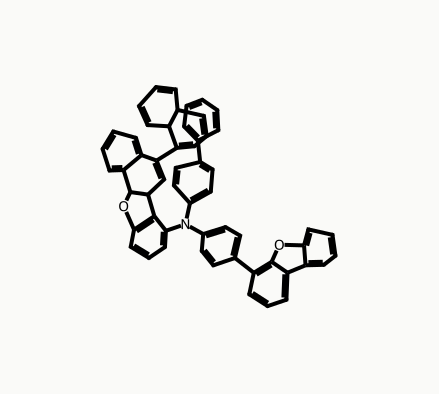 C1=CC2C=CC=C(C3=CC4c5c(cccc5N(c5ccc(-c6ccccc6)cc5)c5ccc(-c6cccc7c6oc6ccccc67)cc5)OC4c4ccccc43)C2C=C1